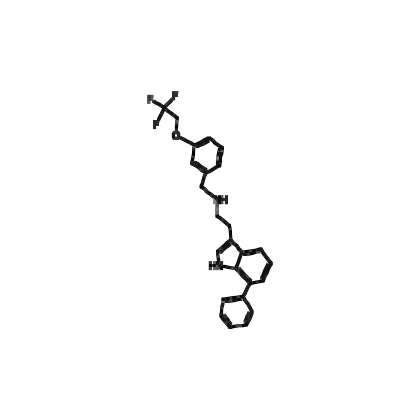 FC(F)(F)COc1cccc(CNCCc2c[nH]c3c(-c4ccccc4)cccc23)c1